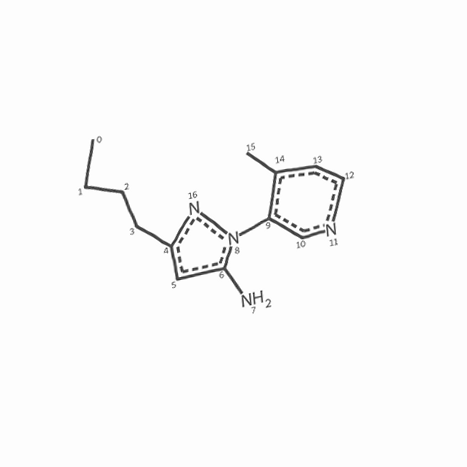 CCCCc1cc(N)n(-c2cnccc2C)n1